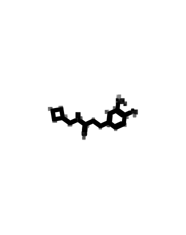 CC(=O)c1ccc(CCC(=O)NCC2CCC2)cc1N